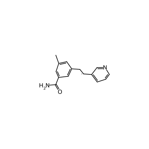 Cc1cc(C[CH]c2cccnc2)cc(C(N)=O)c1